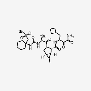 CC1[C@H]2[C@@H]1CN(C(=O)[C@@H](NC(=O)NC1(CS(=O)(=O)C(C)(C)C)CCCCC1)C(C)(C)C)[C@@H]2C(=O)NC(CC1CCC1)C(=O)C(N)=O